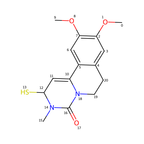 COc1cc2c(cc1OC)C1=CC(S)N(C)C(=O)N1CC2